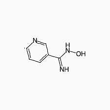 N=C(NO)c1cc[c]nc1